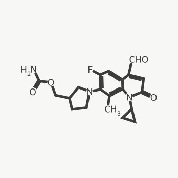 Cc1c(N2CCC(COC(N)=O)C2)c(F)cc2c(C=O)cc(=O)n(C3CC3)c12